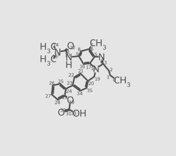 CCCc1nc2c(C)cc(NC(=O)N(C)C)cc2n1Cc1ccc(-c2ccccc2OC(=O)O)cc1